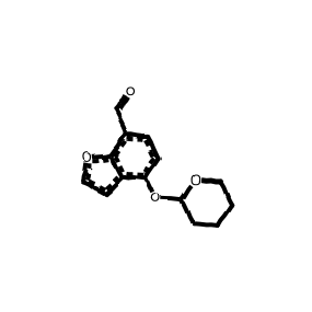 O=Cc1ccc(OC2CCCCO2)c2ccoc12